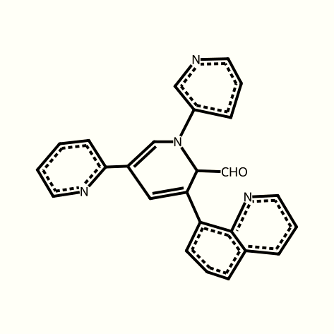 O=CC1C(c2cccc3cccnc23)=CC(c2ccccn2)=CN1c1cccnc1